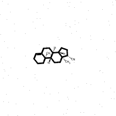 C[C@]12CC[C@H]3[C@@H](CCC4=CCCC[C@@]43C)[C@@H]1CC[C@@H]2C#N